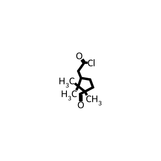 CC1(C=O)CCC(CC(=O)Cl)C1(C)C